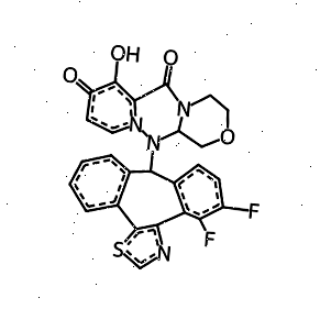 O=C1c2c(O)c(=O)ccn2N(C2c3ccccc3-c3scnc3-c3c2ccc(F)c3F)C2COCCN12